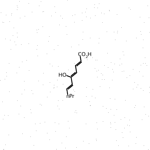 CCCC=CC(O)=CC=CC(=O)O